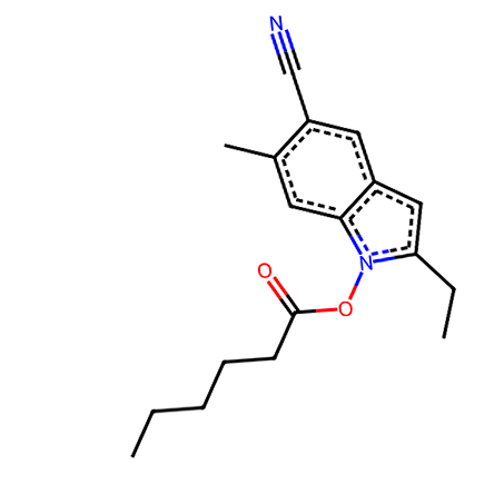 CCCCCC(=O)On1c(CC)cc2cc(C#N)c(C)cc21